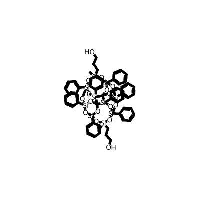 C[Si]1(CCCO)O[Si]2(c3ccccc3)OC34O[Si](c5ccccc5)(O2)O[Si]2(c5ccccc5)O[Si](C)(CCCO)O[Si]5(c6ccccc6)OC6(O[Si](c7ccccc7)(O5)O[Si](c5ccccc5)(O1)O[Si]63c1ccccc1)[Si]4(c1ccccc1)O2